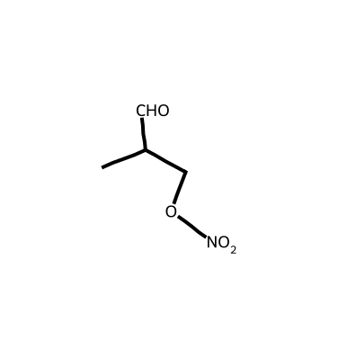 CC(C=O)CO[N+](=O)[O-]